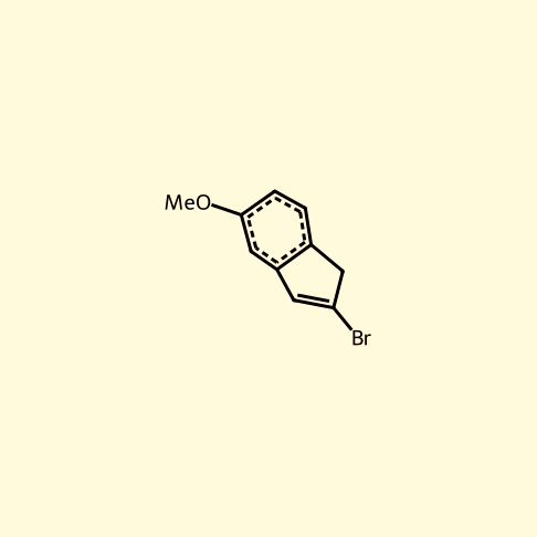 COc1ccc2c(c1)C=C(Br)C2